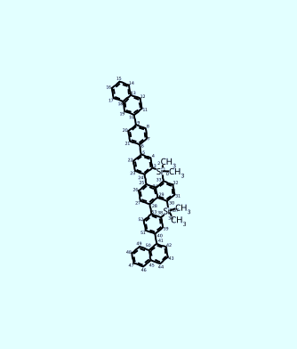 C[Si]1(C)c2cc(-c3ccc(-c4ccc5ccccc5c4)cc3)ccc2-c2ccc3c4c(ccc1c24)[Si](C)(C)c1cc(-c2cccc4ccccc24)ccc1-3